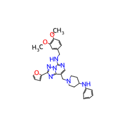 COc1ccc(CNc2ncc(CN3CCC(Nc4ccccc4)CC3)c3nc(-c4ccco4)nn23)cc1OC